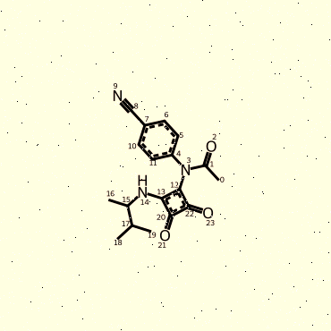 CC(=O)N(c1ccc(C#N)cc1)c1c(NC(C)C(C)C)c(=O)c1=O